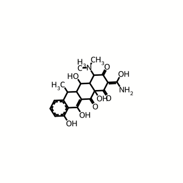 CC1c2cccc(O)c2C(O)=C2C(=O)C3(O)C(=O)C(=C(N)O)C(=O)C(N(C)C)C3C(O)C21